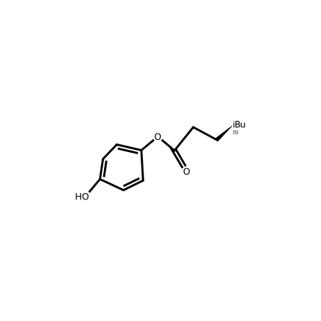 CC[C@H](C)CCC(=O)Oc1ccc(O)cc1